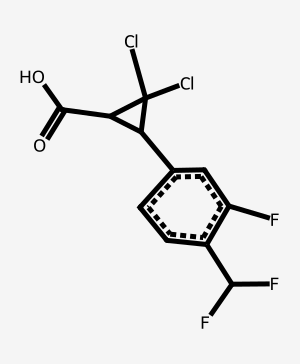 O=C(O)C1C(c2ccc(C(F)F)c(F)c2)C1(Cl)Cl